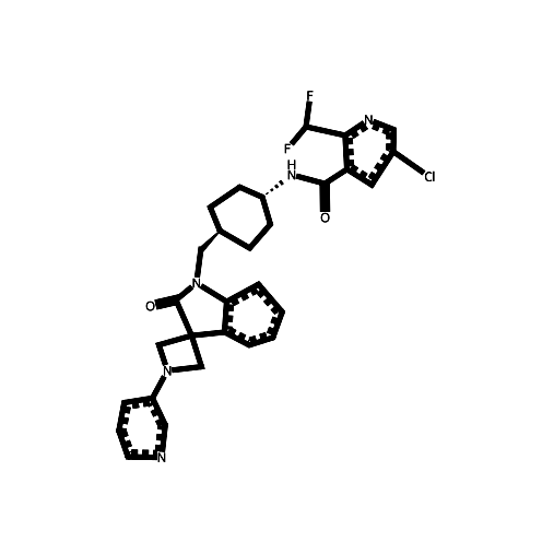 O=C(N[C@H]1CC[C@H](CN2C(=O)C3(CN(c4cccnc4)C3)c3ccccc32)CC1)c1cc(Cl)cnc1C(F)F